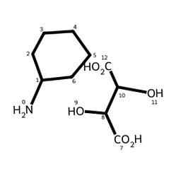 NC1CCCCC1.O=C(O)C(O)C(O)C(=O)O